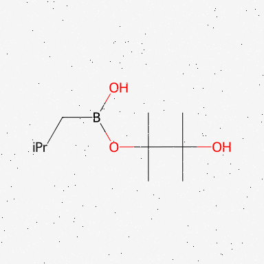 CC(C)CB(O)OC(C)(C)C(C)(C)O